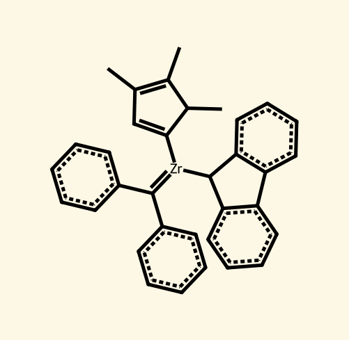 CC1=C(C)C(C)[C]([Zr](=[C](c2ccccc2)c2ccccc2)[CH]2c3ccccc3-c3ccccc32)=C1